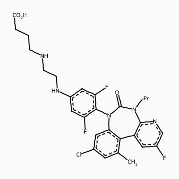 Cc1cc(Cl)cc2c1-c1cc(F)cnc1N(C(C)C)C(=O)N2c1c(F)cc(NCCNCCCC(=O)O)cc1F